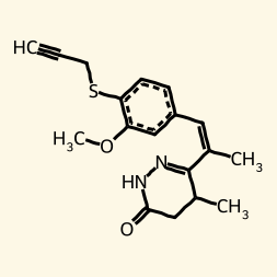 C#CCSc1ccc(C=C(C)C2=NNC(=O)CC2C)cc1OC